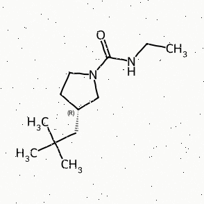 CCNC(=O)N1CC[C@@H](CC(C)(C)C)C1